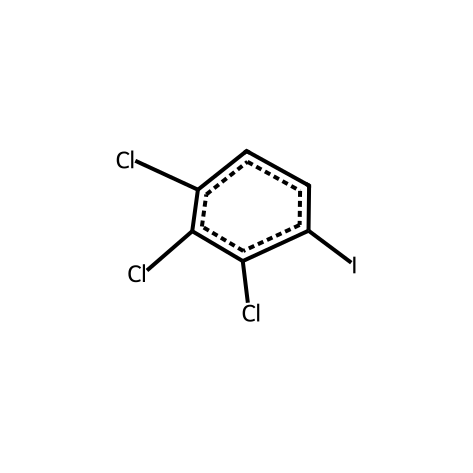 Clc1ccc(I)c(Cl)c1Cl